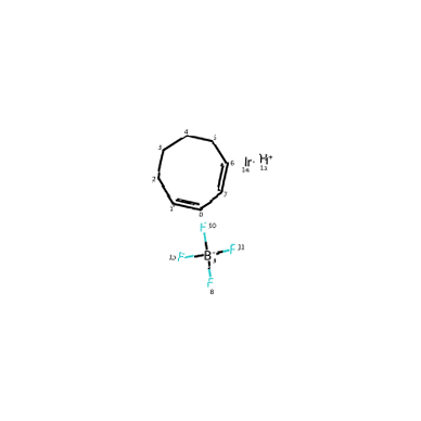 C1=CCCCCC=C1.F[B-](F)(F)F.[H+].[Ir]